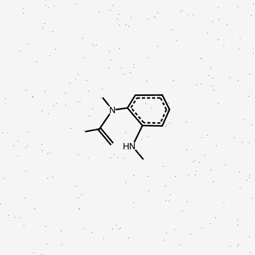 C=C(C)N(C)c1ccccc1NC